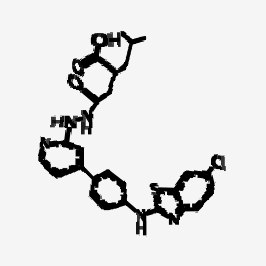 CC(C)C[C@@H](CC(=O)NNc1cc(-c2ccc(Nc3nc4ccc(Cl)cc4s3)cc2)ccn1)C(=O)O